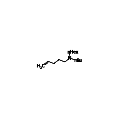 C=CCCCN(CCCC)CCCCCC